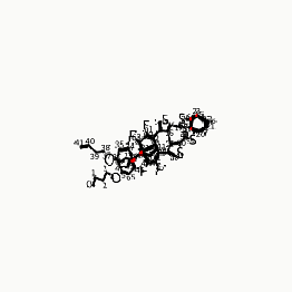 C=CCCOc1ccc(-c2ccc(-c3csc(C4Sc5ccccc5S4)c3-c3c(-c4ccc(-c5ccc(OCCC=C)cc5)c(F)c4F)csc3C3Sc4ccccc4S3)c(F)c2F)cc1